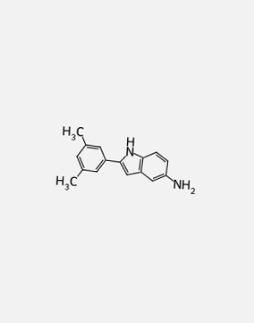 Cc1cc(C)cc(-c2cc3cc(N)ccc3[nH]2)c1